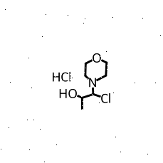 CC(O)C(Cl)N1CCOCC1.Cl